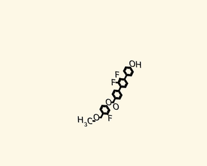 CCOCc1ccc(OC(=O)c2ccc(-c3ccc(-c4ccc(O)cc4)c(F)c3F)cc2)cc1F